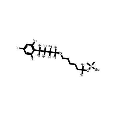 [2H]c1cc([2H])c(C([2H])([2H])C([2H])([2H])C([2H])([2H])C([2H])([2H])OCCCCCC([2H])([2H])O[Si](C)(C)C(C)(C)C)c([2H])c1